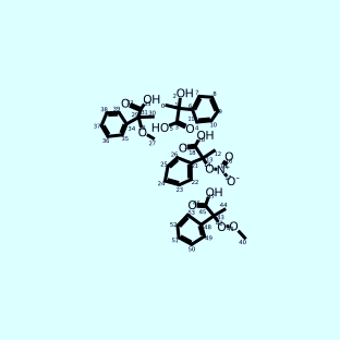 CC(O)(C(=O)O)c1ccccc1.CC(O[N+](=O)[O-])(C(=O)O)c1ccccc1.COC(C)(C(=O)O)c1ccccc1.COOC(C)(C(=O)O)c1ccccc1